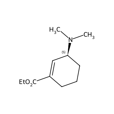 CCOC(=O)C1=C[C@@H](N(C)C)CCC1